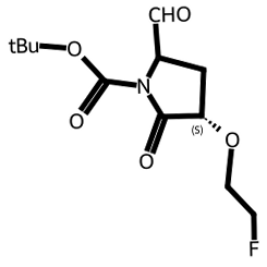 CC(C)(C)OC(=O)N1C(=O)[C@@H](OCCF)CC1C=O